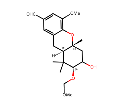 COCO[C@@H]1C(O)C[C@@]2(C)Oc3c(cc(C=O)cc3OC)C[C@@H]2C1(C)C